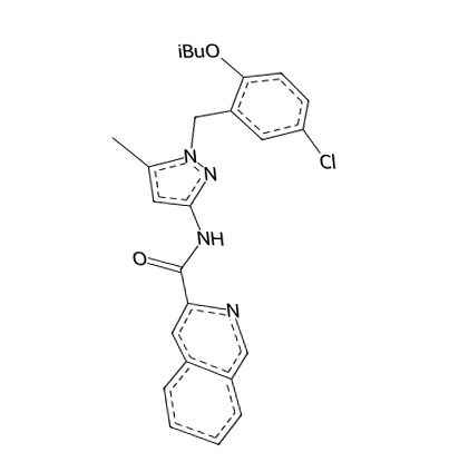 Cc1cc(NC(=O)c2cc3ccccc3cn2)nn1Cc1cc(Cl)ccc1OCC(C)C